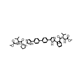 COC(=O)N[C@H](C(=O)N1CCC[C@H]1c1ncc(-c2ccc(-c3ccc(-c4cnc(-c5c(C(=O)N(NC(=O)OC)C(C)C)c6ccc5o6)[nH]4)cc3)cc2)[nH]1)C(C)C